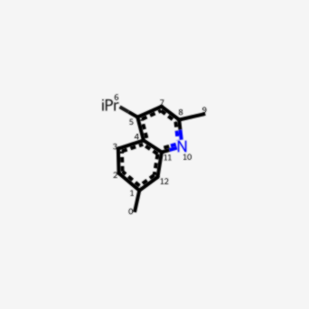 Cc1ccc2c(C(C)C)cc(C)nc2c1